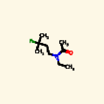 CCN(CCC(C)(C)F)C(C)=O